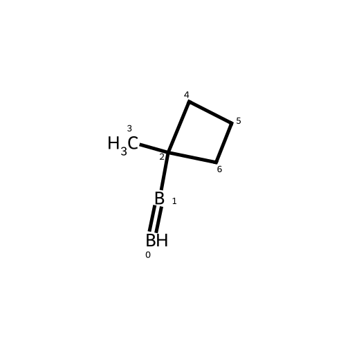 B=BC1(C)CCC1